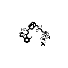 CC(C)(C)OC(=O)NS(=O)(=O)NCCC(=O)NC1C2CC3CC1CC(C(O)CC1c4c(F)cccc4-c4cncn41)(C3)C2